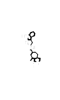 NC[C@H](Cc1c[nH]c2ccccc12)NC(=O)C1=Cc2c[nH]c3nccc(c23)CC1